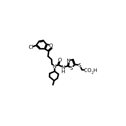 CC1CCC(N(CCCc2coc3ccc(Cl)cc23)C(=O)Nc2ncc(SCC(=O)O)s2)CC1